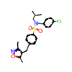 Cc1noc(C)c1Cc1ccc(S(=O)(=O)N(CC(C)C)c2ccc(Cl)cc2)cc1